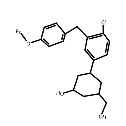 CCOc1ccc(Cc2cc(C3CC(O)CC(CO)C3)ccc2Cl)cc1